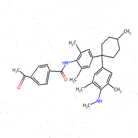 CNc1c(C)cc(C2(c3cc(C)c(NC(=O)c4ccc(C(C)=O)cc4)c(C)c3)CCC(C)CC2)cc1C